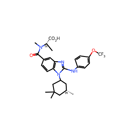 C[C@H]1CC(n2c(Nc3ccc(OC(F)(F)F)cc3)nc3cc(C(=O)N(C)[C@@H](C)C(=O)O)ccc32)CC(C)(C)C1